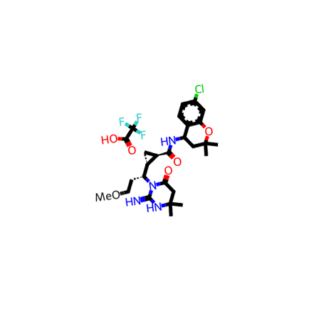 COCC[C@H]([C@@H]1C[C@H]1C(=O)NC1CC(C)(C)Oc2cc(Cl)ccc21)N1C(=N)NC(C)(C)CC1=O.O=C(O)C(F)(F)F